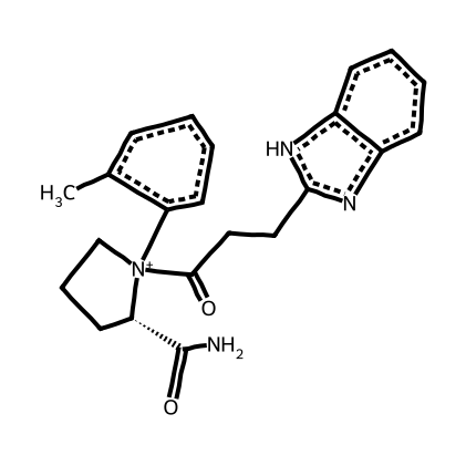 Cc1ccccc1[N+]1(C(=O)CCc2nc3ccccc3[nH]2)CCC[C@H]1C(N)=O